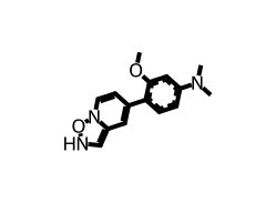 COc1cc(N(C)C)ccc1C1=CC2=CNON2C=C1